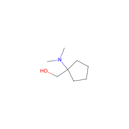 CN(C)C1(CO)CCCC1